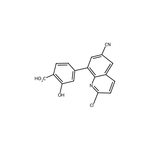 N#Cc1cc(-c2ccc(C(=O)O)c(O)c2)c2nc(Cl)ccc2c1